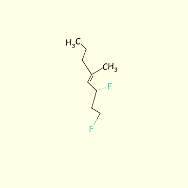 CCC/C(C)=C/[C@H](F)CCF